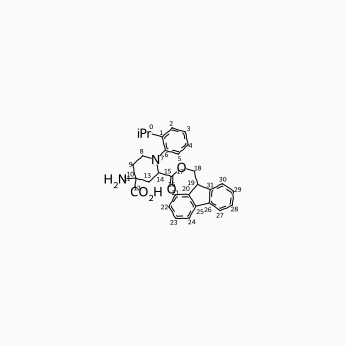 CC(C)c1ccccc1N1CCC(N)(C(=O)O)CC1C(=O)OCC1c2ccccc2-c2ccccc21